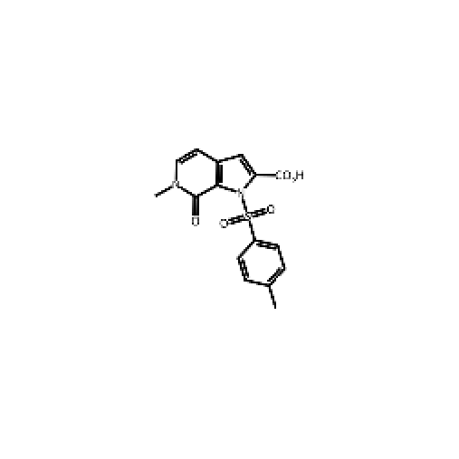 Cc1ccc(S(=O)(=O)n2c(C(=O)O)cc3ccn(C)c(=O)c32)cc1